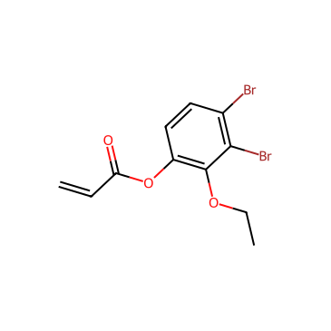 C=CC(=O)Oc1ccc(Br)c(Br)c1OCC